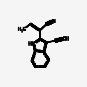 C#Cc1c(/C(C#N)=C\C)[nH]c2ccccc12